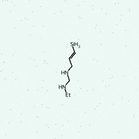 CCNCNCC=C[SiH3]